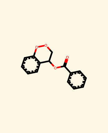 O=C(OC1COOc2ccccc21)c1ccccc1